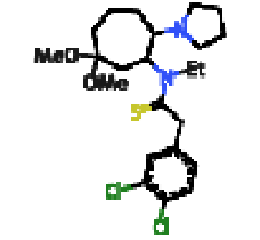 CCN(C(=S)Cc1ccc(Cl)c(Cl)c1)C1CC(OC)(OC)CCCC1N1CCCC1